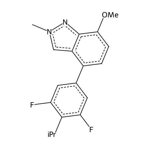 COc1ccc(-c2cc(F)c(C(C)C)c(F)c2)c2cn(C)nc12